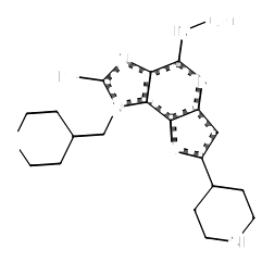 CCCCc1nc2c(NC(C)(C)C)nc3cc(C4CCNCC4)sc3c2n1CC1CCOCC1